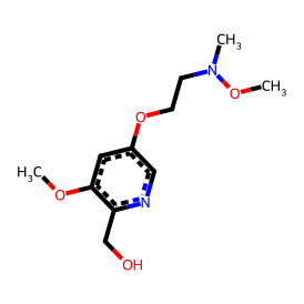 COc1cc(OCCN(C)OC)cnc1CO